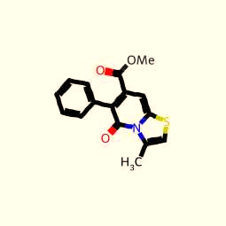 COC(=O)c1cc2scc(C)n2c(=O)c1-c1ccccc1